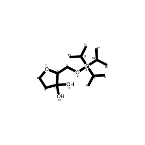 CC(C)[Si](OCC1O[CH]CC1(O)O)(C(C)C)C(C)C